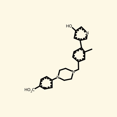 Cc1cc(CN2CCN(c3ccc(C(=O)O)cc3)CC2)ccc1-c1cncc(O)c1